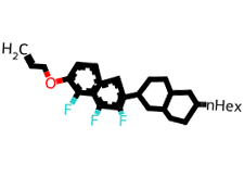 C=CCOc1ccc2cc(C3CCC4CC(CCCCCC)CCC4C3)c(F)c(F)c2c1F